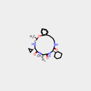 C[C@@H]1CN[C@@H](C2CC2)C(=O)N(C)[C@H](C)C(=O)N[C@H](C2CCCCC2)C(=O)NCCCc2ccccc2O1